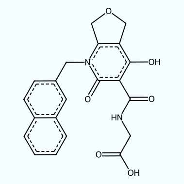 O=C(O)CNC(=O)c1c(O)c2c(n(Cc3ccc4ccccc4c3)c1=O)COC2